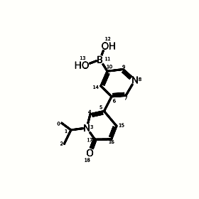 CC(C)n1cc(-c2cncc(B(O)O)c2)ccc1=O